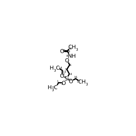 CCO[Si](CCCONC(C)=O)(OCC)OCC